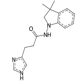 CC1(C)CN(NC(=O)CCc2c[nH]cn2)c2ccccc21